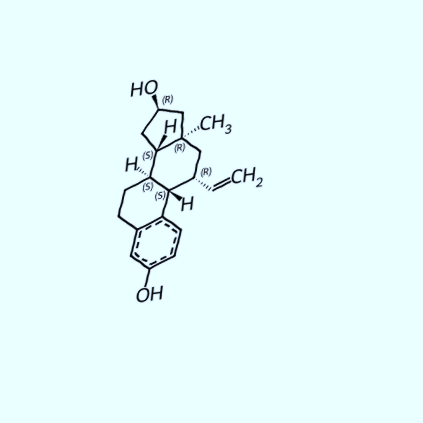 C=C[C@H]1C[C@]2(C)C[C@H](O)C[C@H]2[C@@H]2CCc3cc(O)ccc3[C@H]21